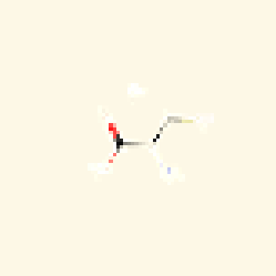 N[C@@H](CS)C(=O)O.[Co]